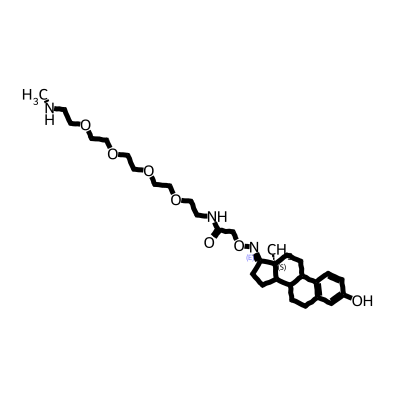 CNCCOCCOCCOCCOCCNC(=O)CO/N=C1\CCC2C3CCc4cc(O)ccc4C3CC[C@]12C